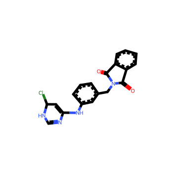 O=C1c2ccccc2C(=O)N1Cc1cccc(NC2=CC(Cl)NC=N2)c1